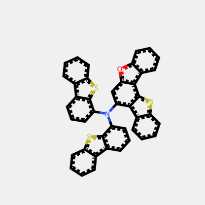 c1ccc2c(c1)oc1cc(N(c3cccc4c3sc3ccccc34)c3cccc4c3sc3ccccc34)c3c4ccccc4sc3c12